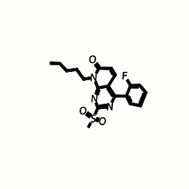 CCCCCn1c(=O)ccc2c(-c3ccccc3F)nc(S(C)(=O)=O)nc21